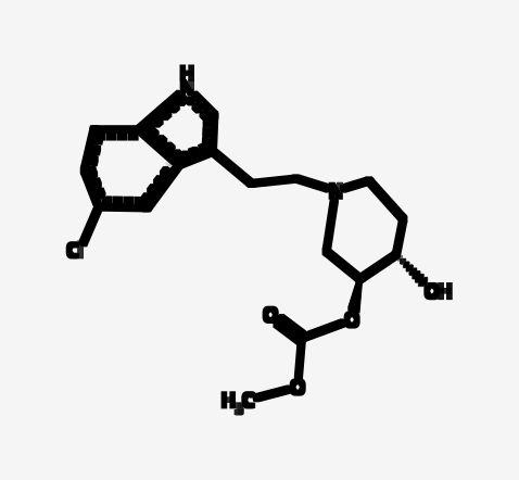 COC(=O)O[C@H]1CN(CCc2c[nH]c3ccc(Cl)cc23)CC[C@@H]1O